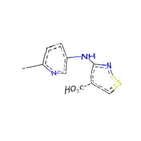 Cc1ccc(Nc2nscc2C(=O)O)cn1